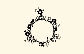 CC[C@H](C)[C@@H]1NC(=O)[C@H](CC(C)C)N(C)C(=O)CSC[C@@H](C(=O)N(C)C)N(C)C(=O)[C@H](C2CCCC2)N(C)C(=O)C2(CCCC2)NC(=O)[C@@H]2CCCN2C(=O)[C@H](CCc2ccc(C(F)(F)F)c(F)c2)NC(=O)CN(C)C(=O)[C@H](C2CCCC2)N(C)C(=O)[C@@H]2CCN2C(=O)[C@H](C)N(C)C1=O